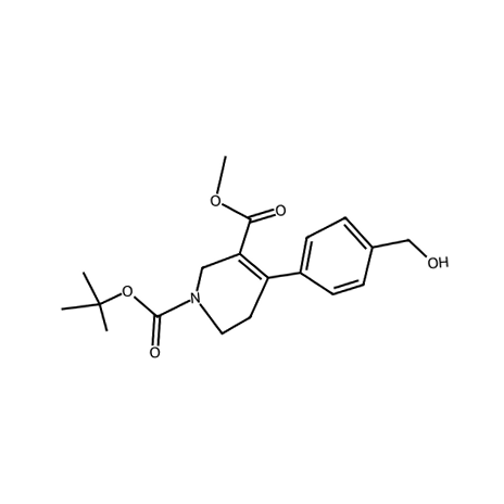 COC(=O)C1=C(c2ccc(CO)cc2)CCN(C(=O)OC(C)(C)C)C1